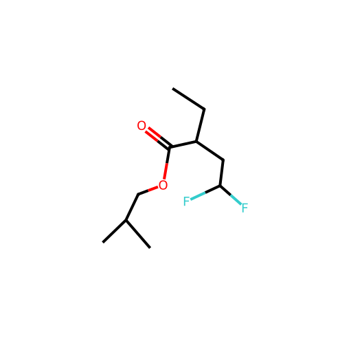 CCC(CC(F)F)C(=O)OCC(C)C